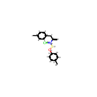 C=C(Cc1ccc(C)cc1)N(Cl)SOc1ccc(C)cc1